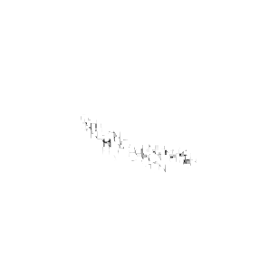 Cc1c(Nc2nccc3cc(CNC[C@@H]4CCC(=O)N4)cnc23)cccc1-c1cccc(-c2nc3c(=N)n(CCN4CC[C@@H](C(=O)NS(=O)(=O)C5CC5)C4)cc(C#N)c3o2)c1Cl